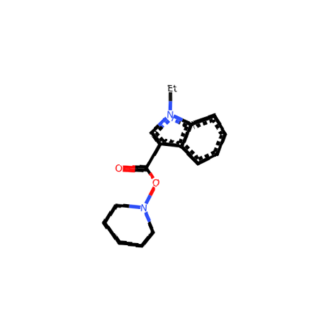 CCn1cc(C(=O)ON2CCCCC2)c2ccccc21